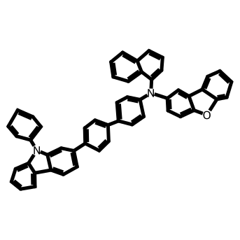 c1ccc(-n2c3ccccc3c3ccc(-c4ccc(-c5ccc(N(c6ccc7oc8ccccc8c7c6)c6cccc7ccccc67)cc5)cc4)cc32)cc1